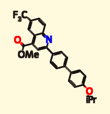 COC(=O)c1cc(-c2ccc(-c3ccc(OC(C)C)cc3)cc2)nc2ccc(C(F)(F)F)cc12